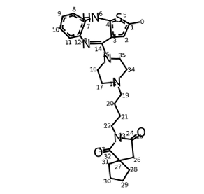 Cc1cc2c(s1)Nc1ccccc1N=C2N1CCN(CCCCN2C(=O)CC3(CCCC3)C2=O)CC1